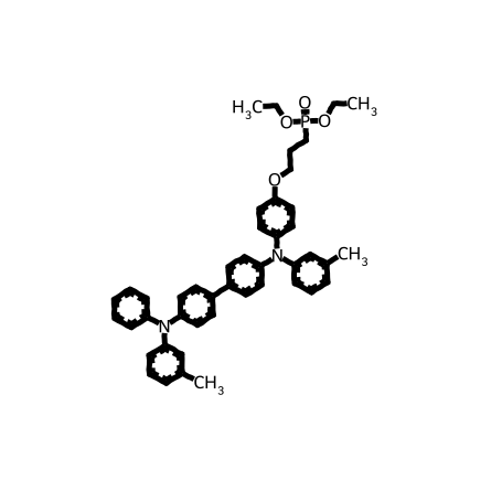 CCOP(=O)(CCCOc1ccc(N(c2ccc(-c3ccc(N(c4ccccc4)c4cccc(C)c4)cc3)cc2)c2cccc(C)c2)cc1)OCC